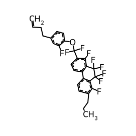 C=CCCc1ccc(OC(F)(F)c2ccc3c(c2F)C(F)(F)C(F)(F)c2c-3ccc(CCC)c2F)c(F)c1